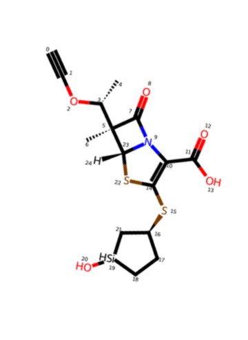 C#CO[C@H](C)[C@@]1(C)C(=O)N2C(C(=O)O)=C(S[C@H]3CC[SiH](O)C3)S[C@@H]21